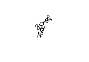 COC(=O)N1CC[C@@H](c2cc(=O)[nH]o2)C[C@H]1c1ccc(OC(F)(F)F)cc1F